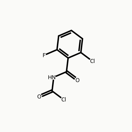 O=C(Cl)NC(=O)c1c(F)cccc1Cl